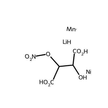 O=C(O)C(O)C(O[N+](=O)[O-])C(=O)O.[LiH].[Mn].[Ni]